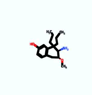 CCCC1(CCC)c2cc(O)ccc2C[C@@H](OC)[C@@H]1N